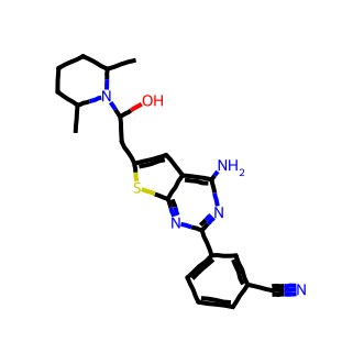 CC1CCCC(C)N1C(O)Cc1cc2c(N)nc(-c3cccc(C#N)c3)nc2s1